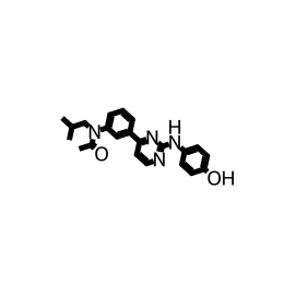 CC(=O)N(CC(C)C)c1cccc(-c2ccnc(Nc3ccc(O)cc3)n2)c1